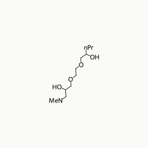 CCCC(O)COCCOCC(O)CNC